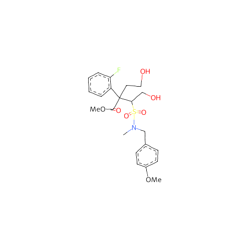 COC(=O)C(CCO)(c1ccccc1F)C(CO)S(=O)(=O)N(C)Cc1ccc(OC)cc1